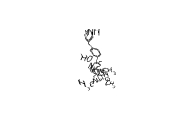 COC1C2CC[C@@](C)(CN2C)[C@@H]1N(C)c1nnc(-c2ccc(-c3cn[nH]c3)cc2O)s1